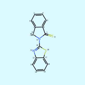 S=c1c2ccccc2[se]n1-c1nc2ccccc2s1